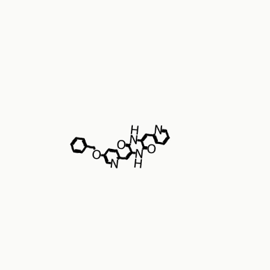 O=c1[nH]c(=Cc2ccc(OCc3ccccc3)cn2)c(=O)[nH]c1=Cc1ccccn1